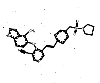 Cc1c(Nc2c(C#N)cncc2C=Cc2ccc(CS(=O)(=O)N3CCCC3)cc2)ccc2[nH]ccc12